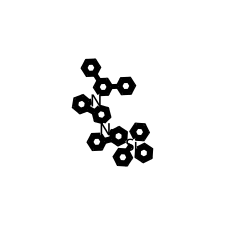 c1ccc(-c2cc(-c3ccccc3)cc(-n3c4ccccc4c4cc(-n5c6ccccc6c6cc([Si](c7ccccc7)(c7ccccc7)c7ccccc7)ccc65)ccc43)c2)cc1